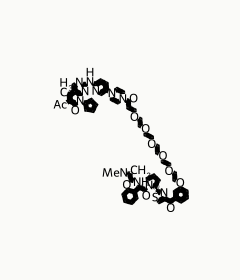 CN[C@@H](C)C(=O)N[C@H](C(=O)N1CCC[C@H]1c1nc(C(=O)c2cccc(OCCOCCOCCOCCOCCOCCC(=O)N3CCN(c4ccc(Nc5ncc6c(C)c(C(C)=O)c(=O)n(C7CCCC7)c6n5)nc4)CC3)c2)cs1)C1CCCCC1